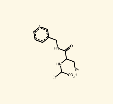 CCC(NC(CC(C)C)C(=O)NCc1cccnc1)C(=O)O